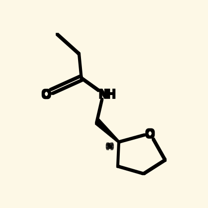 CCC(=O)NC[C@@H]1CCCO1